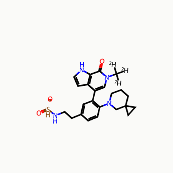 [2H]C([2H])([2H])n1cc(-c2cc(CCN[SH](=O)=O)ccc2N2CCCC3(CC3)C2)c2cc[nH]c2c1=O